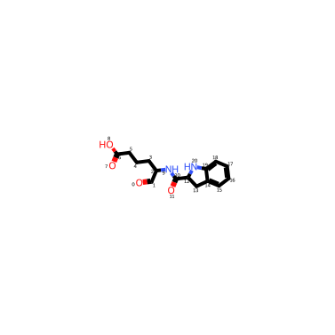 O=CC(CCCC(=O)O)NC(=O)C1Cc2ccccc2N1